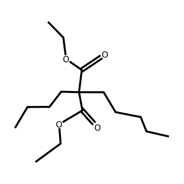 CCCCCC(CCCC)(C(=O)OCC)C(=O)OCC